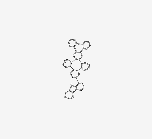 c1ccc2c(c1)-c1ccc(-c3cccc4c3sc3ccccc34)cc1-c1ccccc1-c1cc3c4ccccc4c4ccccc4c3cc1-2